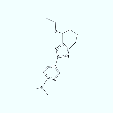 CCOC1CCCc2nc(-c3ccc(N(C)C)nc3)sc21